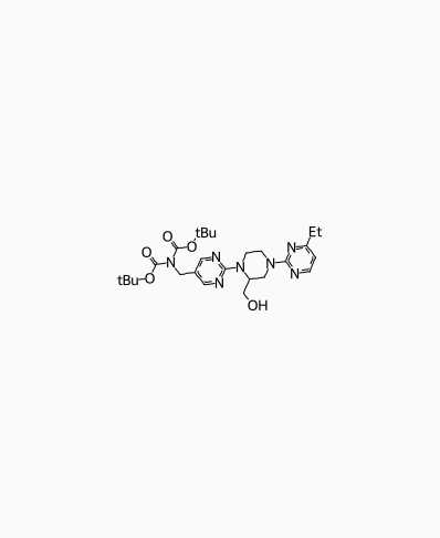 CCc1ccnc(N2CCN(c3ncc(CN(C(=O)OC(C)(C)C)C(=O)OC(C)(C)C)cn3)C(CO)C2)n1